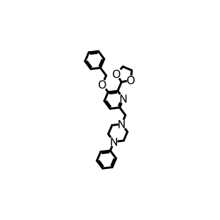 c1ccc(COc2ccc(CN3CCN(c4ccccc4)CC3)nc2C2OCCO2)cc1